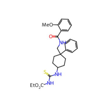 CCOC(=O)NC(=S)NC1CCC(CNC(=O)c2ccccc2OC)(c2ccccc2)CC1